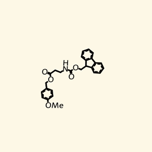 COc1ccc(COC(=O)CCNC(=O)OCC2c3ccccc3-c3ccccc32)cc1